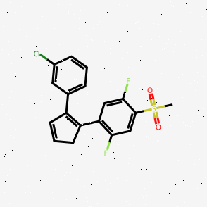 CS(=O)(=O)c1cc(F)c(C2=C(c3cccc(Cl)c3)C=CC2)cc1F